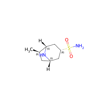 C[C@@H]1C[C@H]2C[C@@H](S(N)(=O)=O)C[C@@H]1N2